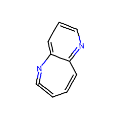 C1=CC=Cc2ncccc2N=1